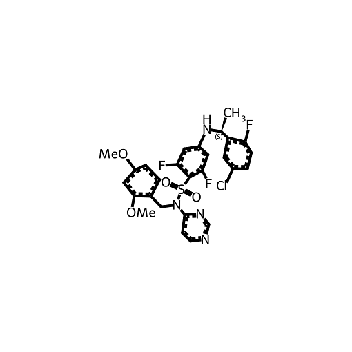 COc1ccc(CN(c2ccncn2)S(=O)(=O)c2c(F)cc(N[C@@H](C)c3cc(Cl)ccc3F)cc2F)c(OC)c1